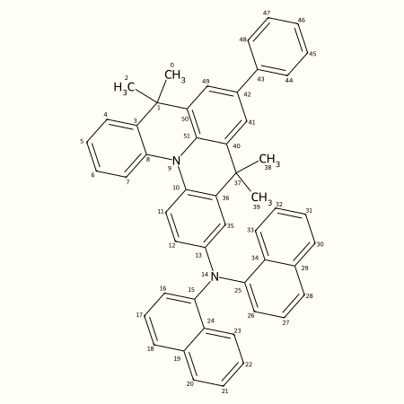 CC1(C)c2ccccc2N2c3ccc(N(c4cccc5ccccc45)c4cccc5ccccc45)cc3C(C)(C)c3cc(-c4ccccc4)cc1c32